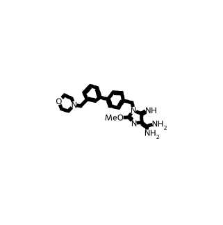 COC1=NC(=C(N)N)C(=N)N1Cc1ccc(-c2cccc(CN3CCOCC3)c2)cc1